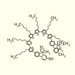 CCCCCCc1cc(-c2sc(-c3sc(-c4sc(-c5sc(-c6sc(-c7ccc8c(c7)C(C)(C)C7C=C(S)C=CC87)cc6CCCCCC)cc5CCCCCC)cc4CCCCCC)cc3CCCCCC)cc2CCCCCC)sc1-c1ccc2c(c1)C(C)(C)c1cc(C)ccc1-2